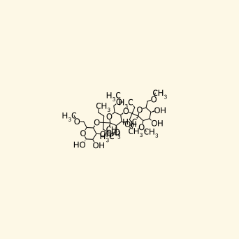 CCCC(CC)(O[C@@H]1C(COC)O[C@@](C)(C(CC)(CCC)O[C@@H]2C(COC)O[C@@H](O)C(O)C2O)C(OC)C1O)[C@]1(C)OC(COC)[C@@H](O)C(O)C1OC